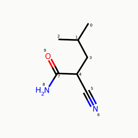 CC(C)CC(C#N)C(N)=O